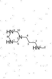 CNCCCN1CNCNC1